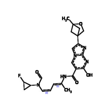 C/C(=C\C=C/N(C=O)C1CC1F)NC(=O)c1cn2cc(C34COC(C)(C3)C4)nc2nc1O